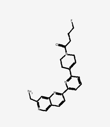 NCc1cc2nc(-c3cccc(C4=CCN(C(=O)CCCF)CC4)n3)ccc2cn1